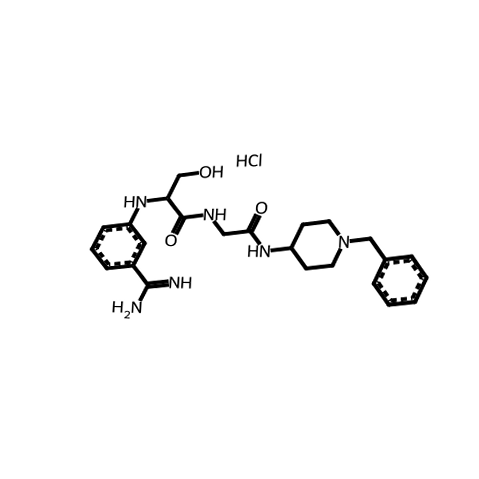 Cl.N=C(N)c1cccc(NC(CO)C(=O)NCC(=O)NC2CCN(Cc3ccccc3)CC2)c1